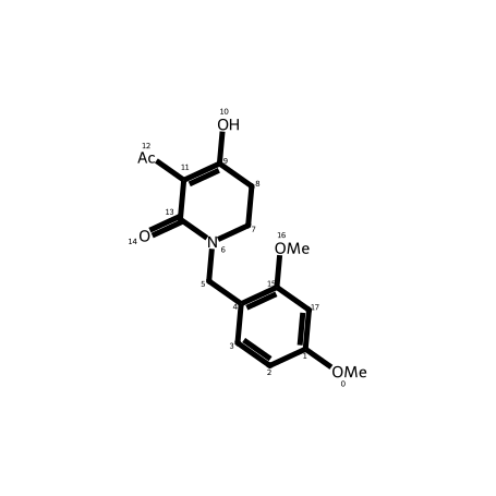 COc1ccc(CN2CCC(O)=C(C(C)=O)C2=O)c(OC)c1